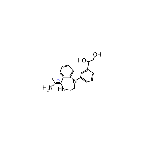 C/C(N)=C1/NCCN(c2cccc(C(O)CO)c2)c2ccccc21